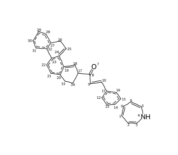 C1=CC=CNC=C1.O=C(C=Cc1ccccc1)C1C=c2c(ccc3c2=CCc2ccccc2-3)CC1